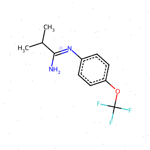 CC(C)/C(N)=N/c1ccc(OC(F)(F)F)cc1